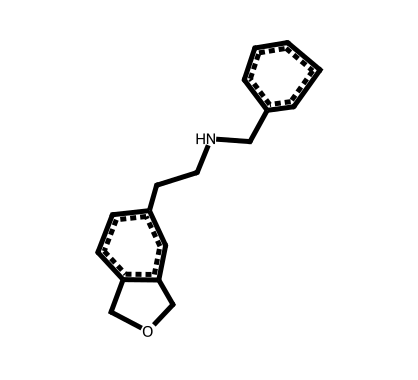 c1ccc(CNCCc2ccc3c(c2)COC3)cc1